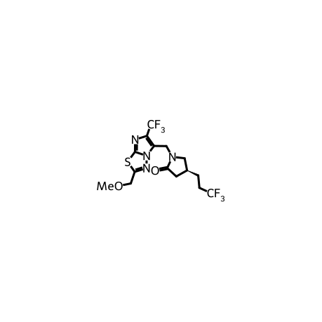 COCc1nn2c(CN3C[C@@H](CCC(F)(F)F)CC3=O)c(C(F)(F)F)nc2s1